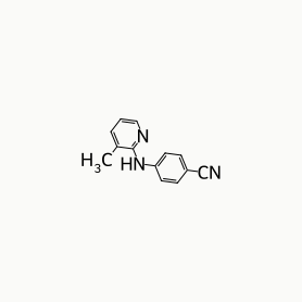 Cc1cccnc1Nc1ccc(C#N)cc1